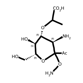 CC(=O)C1(ON)O[C@H](CO)[C@@H](O)[C@H](OC(C)C(=O)O)[C@H]1N